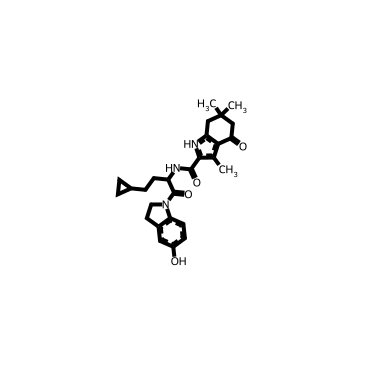 Cc1c(C(=O)NC(CCC2CC2)C(=O)N2CCc3cc(O)ccc32)[nH]c2c1C(=O)CC(C)(C)C2